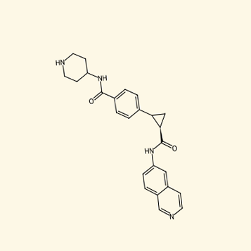 O=C(NC1CCNCC1)c1ccc(C2C[C@H]2C(=O)Nc2ccc3cnccc3c2)cc1